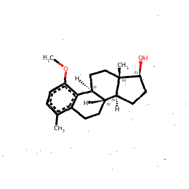 COc1ccc(C)c2c1[C@H]1CC[C@]3(C)[C@@H](O)CC[C@H]3[C@@H]1CC2